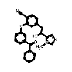 Cn1cncc1C(O)Cc1ccc(C#N)c(Oc2cccc(C(=O)c3ccccc3)c2)c1